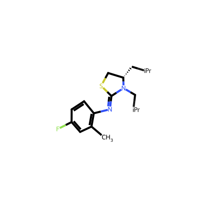 Cc1cc(F)ccc1/N=C1\SC[C@H](CC(C)C)N1CC(C)C